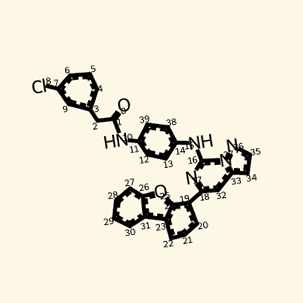 O=C(Cc1cccc(Cl)c1)Nc1ccc(Nc2nc(-c3cccc4c3oc3ccccc34)cc3ccnn23)cc1